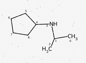 CC(C)NC1CCCC1